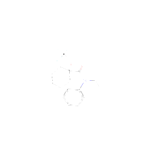 CCN(C(=O)C1(OC(F)(F)F)CCCCC1)c1ccccc1